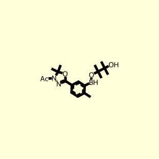 CC(=O)N1N=C(c2ccc(C)c(BOC(C)(C)C(C)(C)O)c2)OC1(C)C